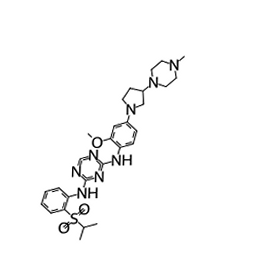 COc1cc(N2CCC(N3CCN(C)CC3)C2)ccc1Nc1ncnc(Nc2ccccc2S(=O)(=O)C(C)C)n1